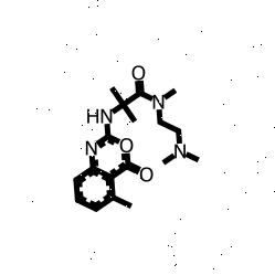 Cc1cccc2nc(NC(C)(C)C(=O)N(C)CCN(C)C)oc(=O)c12